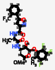 COC(=O)C[C@H](NC(=O)[C@H](C)NC(=O)c1cc(-c2ccccc2C(F)(F)F)on1)C(=O)COc1c(C)c(F)cc(F)c1F